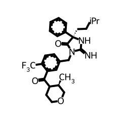 CC(C)CC[C@]1(c2ccccc2)NC(=N)N(Cc2ccc(C(F)(F)F)c(C(=O)C3CCOC[C@@H]3C)c2)C1=O